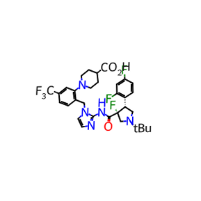 CC(C)(C)N1C[C@@H](c2ccc(F)cc2F)[C@](F)(C(=O)Nc2nccn2Cc2ccc(C(F)(F)F)cc2N2CCC(C(=O)O)CC2)C1